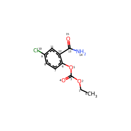 CCOC(=O)Oc1ccc(Cl)cc1C(N)=O